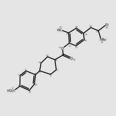 CCCCCCCCc1ccc(C2CCC(C(=O)Oc3ccc(CC(CC)CCCC)cc3C#N)CC2)cc1